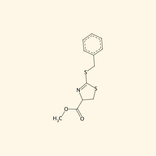 COC(=O)C1CSC(SCc2ccccc2)=N1